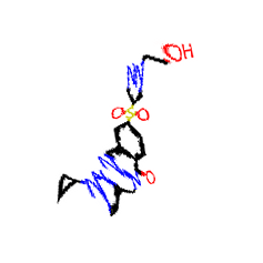 O=c1c2ccc(S(=O)(=O)c3cnn(CCO)c3)cc2cnn1Cc1ccn(C2CC2)n1